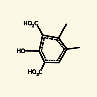 Cc1cc(C(=O)O)c(O)c(C(=O)O)c1C